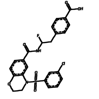 O=C(O)c1ccc(CC(F)NC(=O)c2ccc3c(c2)N(S(=O)(=O)c2cccc(Cl)c2)CCO3)cc1